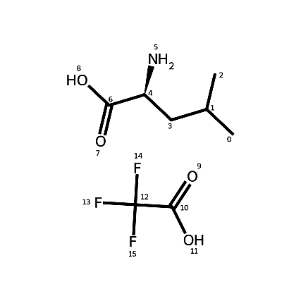 CC(C)C[C@H](N)C(=O)O.O=C(O)C(F)(F)F